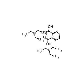 CCN(CC)CC.CCN(CC)CC.O=C(O)c1ccccc1C(=O)O